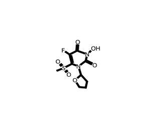 CS(=O)(=O)c1c(F)c(=O)n(O)c(=O)n1C1CCCO1